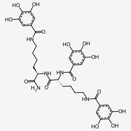 NC(=O)[C@@H](CCCCNC(=O)c1cc(O)c(O)c(O)c1)NC(=O)[C@@H](CCCCNC(=O)c1cc(O)c(O)c(O)c1)NC(=O)c1cc(O)c(O)c(O)c1